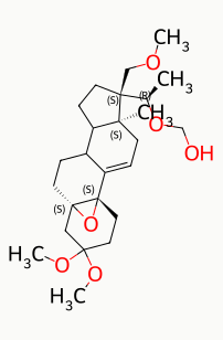 COC[C@]1([C@@H](C)OCO)CCC2C3CC[C@]45CC(OC)(OC)CC[C@]4(O5)C3=CC[C@@]21C